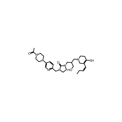 CC/C=C\C1=C(S)CCN(CC(CO)CN2CCN(Cc3ccc(N4CCN(C(C)=O)CC4)cn3)C2=O)C1